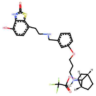 CN(CCCOc1cccc(CNCCc2ccc(O)c3[nH]c(=O)sc23)c1)[C@H]1[C@H]2CC[C@@H]1[C@H](OC(=O)C(F)(F)F)C2